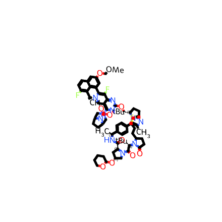 C#Cc1c(F)ccc2cc(OCOC)cc(-c3ncc4c(N5CC6CCC(C5)N6C(=O)OC(C)(C)C)nc(OC[C@@H]5CCCN5CCCC5CCC(=O)N5[C@H](C(=O)N5C[C@H](OC6CCCCO6)C[C@H]5C(=O)N[C@@H](C)c5ccc(-c6scnc6C)cc5)C(C)(C)C)nc4c3F)c12